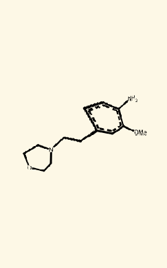 COc1cc(CCN2CCOCC2)ccc1N